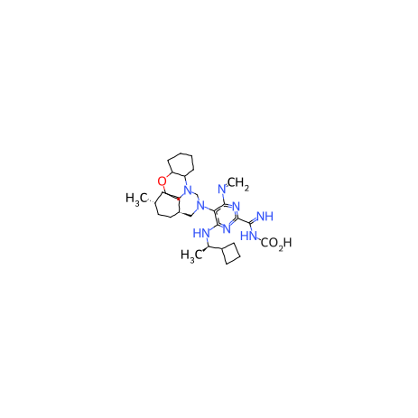 C=Nc1nc(C(=N)NC(=O)O)nc(N[C@H](C)C2CCC2)c1N(CN1CCOC2CCCCC21)C[C@H]1CC[C@H](C)CC1